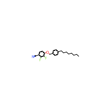 CCCCCCCCc1ccc(COc2ccc(C#N)c(F)c2F)cc1